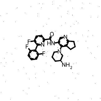 N[C@H]1CCCN(c2c(NC(=O)c3ccc(F)c(-c4c(F)cccc4F)n3)cnc3c2CCC3)C1